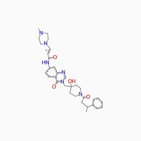 CC(CC(=O)N1CCC(O)(Cn2cnc3cc(NC(=O)/C=C/N4CCN(C)CC4)ccc3c2=O)CC1)c1ccccc1